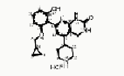 Cl.O=C1NCc2c(C3CCNCC3)cc(-c3c(O)cccc3OCC3CC3)nc2N1